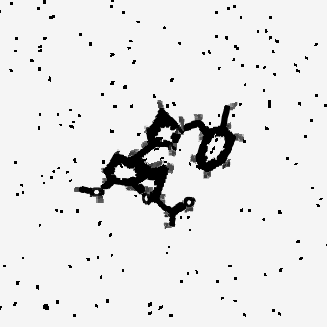 COc1ccc(-c2ccn(Cc3ccccc3C)n2)c2cc(C(C)=O)oc12